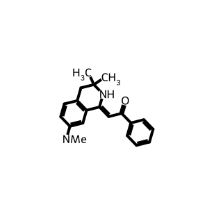 CNc1ccc2c(c1)C(=CC(=O)c1ccccc1)NC(C)(C)C2